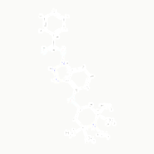 CN1C(C)(C)CC(Oc2cccc3c2nnn3OC(=O)c2ccccc2)CC1(C)C